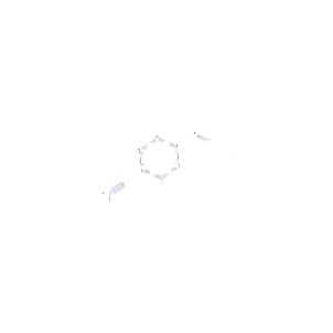 C=Cc1ccc(C#N)cc1